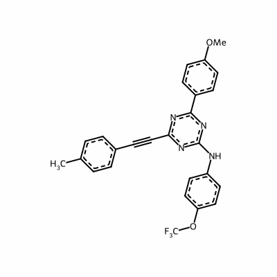 COc1ccc(-c2nc(C#Cc3ccc(C)cc3)nc(Nc3ccc(OC(F)(F)F)cc3)n2)cc1